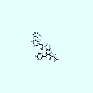 C[C@@H]1CN(CC(=O)N2c3cc(Cc4ccc(F)cc4)c(C(=O)NC4CC4)nc3OC[C@@H]2C)[C@@H](CN2[C@H](C)COC[C@H]2C)CN1